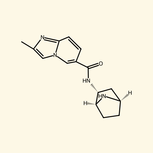 Cc1cn2cc(C(=O)N[C@@H]3C[C@H]4CC[C@@H]3N4)ccc2n1